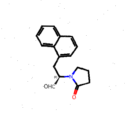 O=[C][C@@H](Cc1cccc2ccccc12)N1CCCC1=O